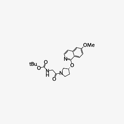 COc1ccc2c(O[C@@H]3CCN(C(=O)CNC(=O)OC(C)(C)C)C3)nccc2c1